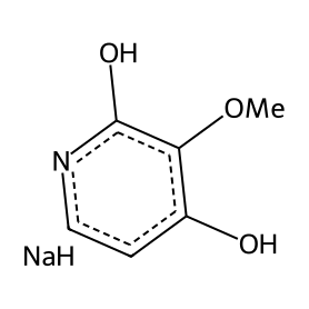 COc1c(O)ccnc1O.[NaH]